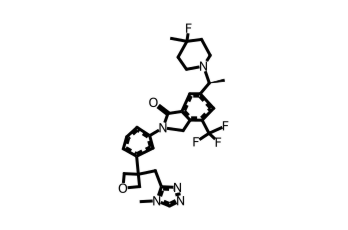 C[C@@H](c1cc2c(c(C(F)(F)F)c1)CN(c1cccc(C3(Cc4nncn4C)COC3)c1)C2=O)N1CCC(C)(F)CC1